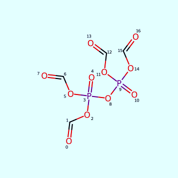 O=COP(=O)(OC=O)OP(=O)(OC=O)OC=O